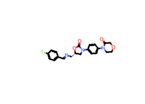 O=C1COCCN1c1ccc(N2C[C@H](CN=Cc3ccc(F)cc3)OC2=O)cc1